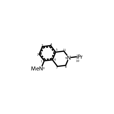 CNc1cccc2c1CCN(C(C)C)C2